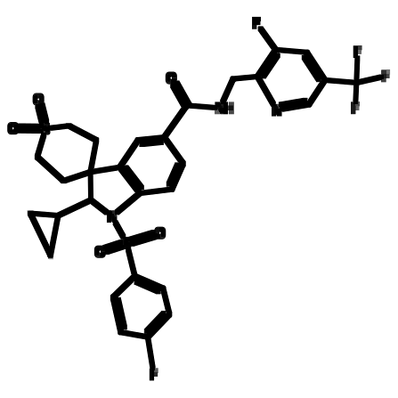 O=C(NCc1ncc(C(F)(F)F)cc1F)c1ccc2c(c1)C1(CCS(=O)(=O)CC1)C(C1CC1)N2S(=O)(=O)c1ccc(F)cc1